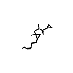 CC/C=C\CCC1CC1(C)CN(C)C(=O)C1CC1